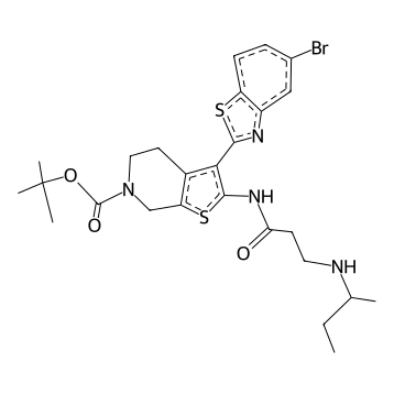 CCC(C)NCCC(=O)Nc1sc2c(c1-c1nc3cc(Br)ccc3s1)CCN(C(=O)OC(C)(C)C)C2